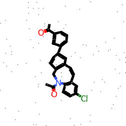 CC(=O)c1cccc(-c2ccc3c(c2)C=Cc2cc(Cl)ccc2N(C(C)=O)C3)c1